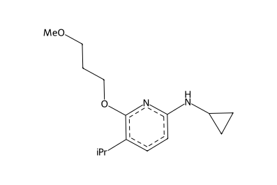 COCCCOc1nc(NC2CC2)ccc1C(C)C